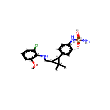 COc1cccc(Cl)c1NCC1C(c2ccc(NS(N)(=O)=O)cc2)C1(C)C